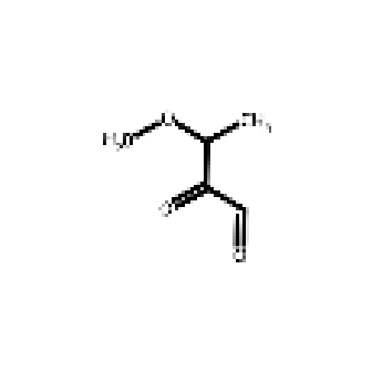 BOC(C)C(=O)C=O